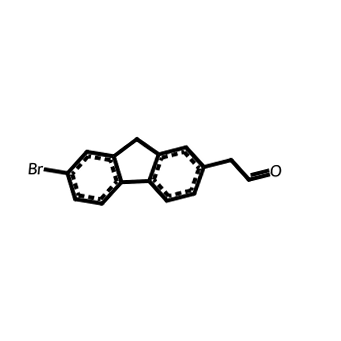 O=CCc1ccc2c(c1)Cc1cc(Br)ccc1-2